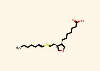 CCCCCC=CSCC[C@@H]1COC[C@@H]1CCCCCCC(=O)O